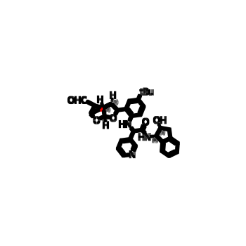 CC(C)(C)c1ccc(NC(C(=O)N[C@@H]2c3ccccc3C[C@@H]2O)c2cccnc2)c(C2O[C@@H]3OC4C[C@@H]3[C@@H]2CC4C=O)c1